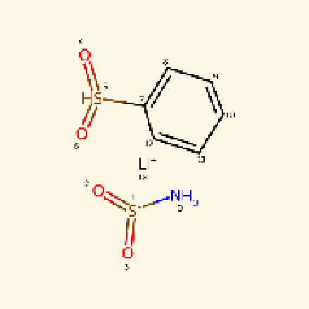 N[S-](=O)=O.O=[SH](=O)c1cc[c]cc1.[Li+]